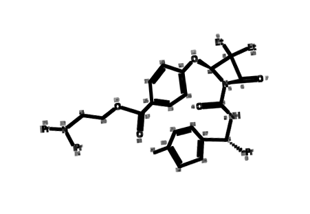 CCC[C@@H](NC(=O)N1C(=O)C(CC)(CC)[C@@H]1Oc1ccc(C(=O)OCCN(C(C)C)C(C)C)cc1)c1ccc(C)cc1